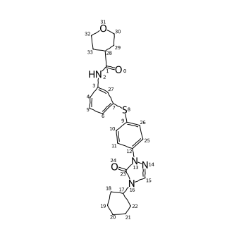 O=C(Nc1cccc(Sc2ccc(-n3ncn(C4CCCCC4)c3=O)cc2)c1)C1CCOCC1